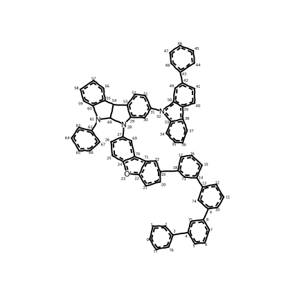 c1ccc(-c2cccc(-c3cccc(-c4cccc(-c5ccc6oc7ccc(N8c9cc(-n%10c%11ccccc%11c%11ccc(-c%12ccccc%12)cc%11%10)ccc9C9c%10ccccc%10N(c%10ccccc%10)C98)cc7c6c5)c4)c3)c2)cc1